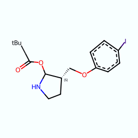 CC(C)(C)C(=O)OC1NCC[C@H]1COc1ccc(I)cc1